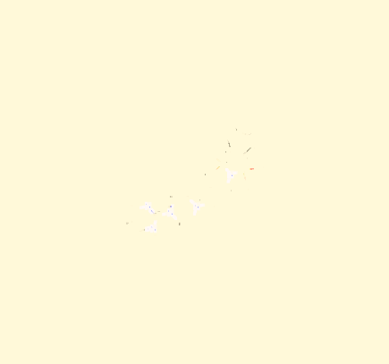 O=S1(=O)c2ccccc2S(=O)(=O)N1CCCN1CCN(c2ncccn2)CC1